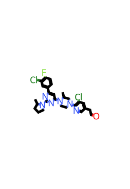 CC1CN(c2ncc(CC=O)cc2Cl)CCN1c1cc(-c2ccc(F)c(Cl)c2)nc(N2CCCC2C)n1